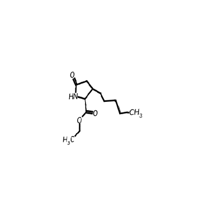 CCCCCC1CC(=O)N[C@@H]1C(=O)OCC